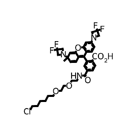 CC1(N2CC(F)(F)C2)C=CC2=C(c3cc(C(=O)NCCOCCOCCCCCCCl)ccc3C(=O)O)c3ccc(N4CC(F)(F)C4)cc3OC2=C1